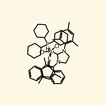 Cc1cc(C)c(N2CCN(c3c(C)cc(C)cc3C)[CH]2[Ru]([Cl])([Cl])(=[C]=C2c3ccccc3-c3ccccc32)[PH](C2CCCCC2)(C2CCCCC2)C2CCCCC2)c(C)c1